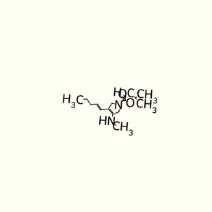 CCC/C=C/C1=C(NC)CN(C(=O)OC(C)(C)C)C1